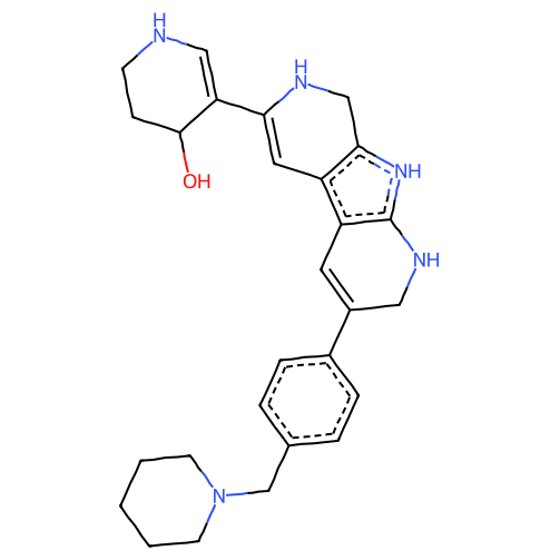 OC1CCNC=C1C1=Cc2c([nH]c3c2C=C(c2ccc(CN4CCCCC4)cc2)CN3)CN1